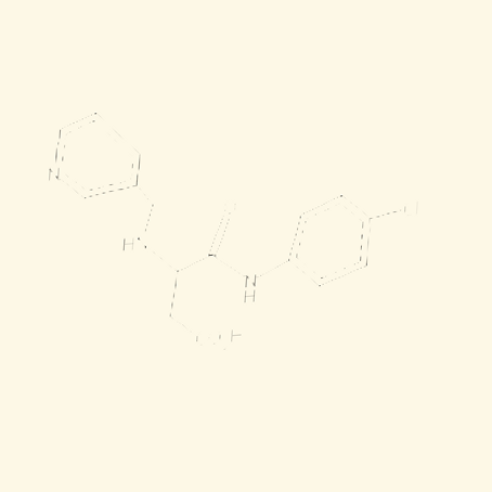 O=C(O)CC(NCc1cccnc1)C(=O)Nc1ccc(Cl)cc1